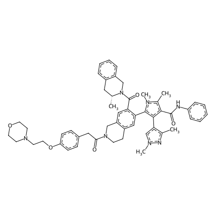 Cc1nn(C)cc1-c1c(C(=O)Nc2ccccc2)c(C)n(C)c1-c1cc2c(cc1C(=O)N1Cc3ccccc3C[C@H]1C)CN(C(=O)Cc1ccc(OCCN3CCOCC3)cc1)CC2